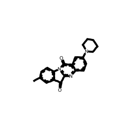 Cc1ccc2c(c1)C(=O)c1nc3ccc(N4CCCCC4)cc3c(=O)n1-2